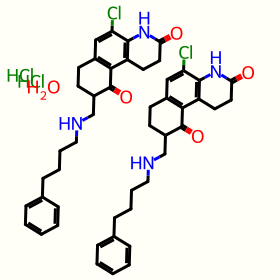 Cl.Cl.O.O=C1CCc2c(c(Cl)cc3c2C(=O)C(CNCCCCc2ccccc2)CC3)N1.O=C1CCc2c(c(Cl)cc3c2C(=O)C(CNCCCCc2ccccc2)CC3)N1